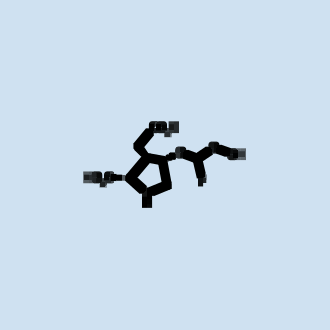 O=C(O)C[C@@H]1[C@@H](C(=O)O)NC[C@H]1OC(F)OO